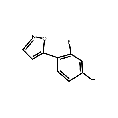 Fc1ccc(-c2ccno2)c(F)c1